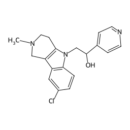 CN1CCc2c(c3cc(Cl)ccc3n2CC(O)c2ccncc2)C1